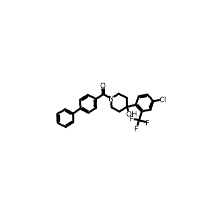 O=C(c1ccc(-c2ccccc2)cc1)N1CCC(O)(c2ccc(Cl)cc2C(F)(F)F)CC1